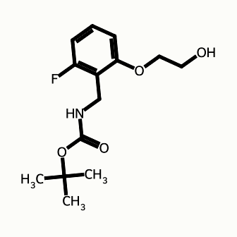 CC(C)(C)OC(=O)NCc1c(F)cccc1OCCO